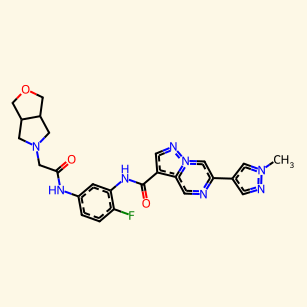 Cn1cc(-c2cn3ncc(C(=O)Nc4cc(NC(=O)CN5CC6COCC6C5)ccc4F)c3cn2)cn1